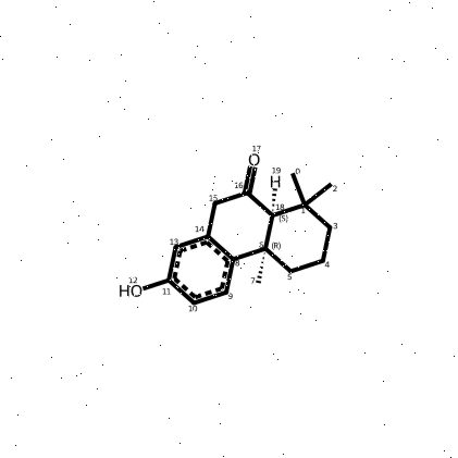 CC1(C)CCC[C@@]2(C)c3ccc(O)cc3CC(=O)[C@@H]12